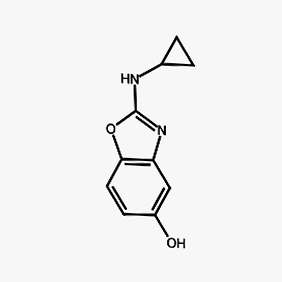 Oc1ccc2oc(NC3CC3)nc2c1